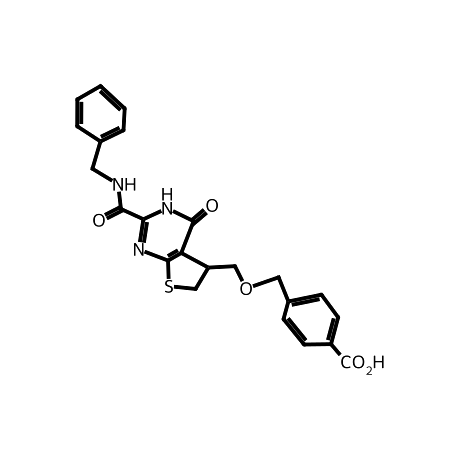 O=C(O)c1ccc(COCC2CSc3nc(C(=O)NCc4ccccc4)[nH]c(=O)c32)cc1